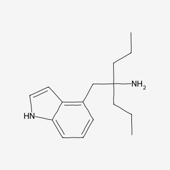 CCCC(N)(CCC)Cc1cccc2[nH]ccc12